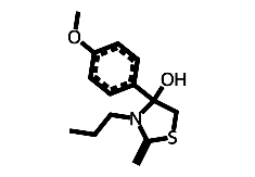 C=C1SCC(O)(c2ccc(OC)cc2)N1CCC